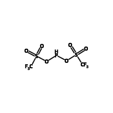 O=S(=O)(OPOS(=O)(=O)C(F)(F)F)C(F)(F)F